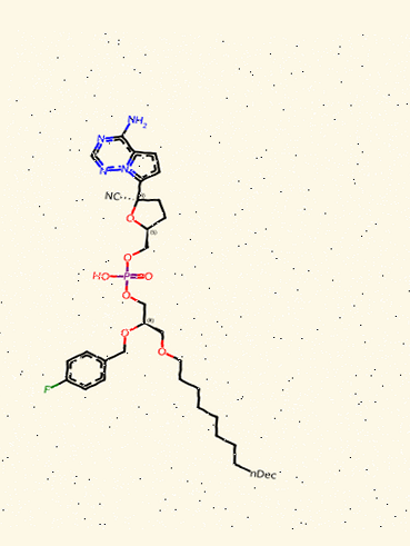 CCCCCCCCCCCCCCCCCCOC[C@H](COP(=O)(O)OC[C@@H]1CC[C@](C#N)(c2ccc3c(N)ncnn23)O1)OCc1ccc(F)cc1